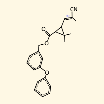 C/C(C#N)=C\C1C(C(=O)OCc2cccc(Oc3ccccc3)c2)C1(C)C